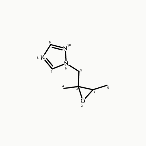 CC1OC1(C)Cn1cncn1